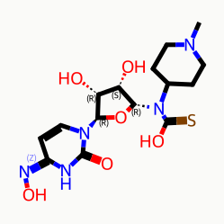 CN1CCC(N(C(O)=S)[C@@H]2O[C@@H](n3cc/c(=N/O)[nH]c3=O)[C@H](O)[C@@H]2O)CC1